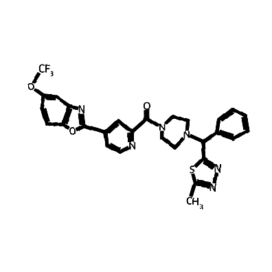 Cc1nnc(C(c2ccccc2)N2CCN(C(=O)c3cc(-c4nc5cc(OC(F)(F)F)ccc5o4)ccn3)CC2)s1